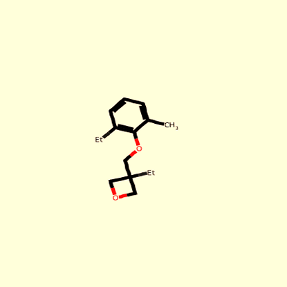 CCc1cccc(C)c1OCC1(CC)COC1